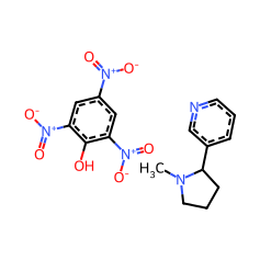 CN1CCCC1c1cccnc1.O=[N+]([O-])c1cc([N+](=O)[O-])c(O)c([N+](=O)[O-])c1